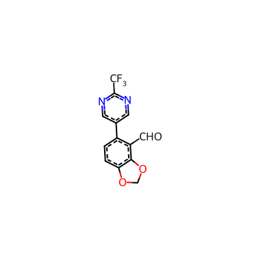 O=Cc1c(-c2cnc(C(F)(F)F)nc2)ccc2c1OCO2